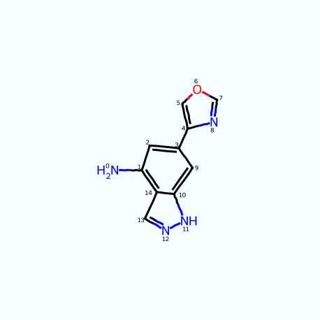 Nc1cc(-c2cocn2)cc2[nH]ncc12